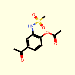 CC(=O)Oc1ccc(C(C)=O)cc1NS(C)(=O)=O